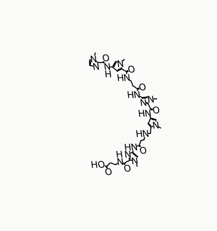 Cn1cc(NC(=O)c2nc(NC(=O)CCNC(=O)c3cc(NC(=O)c4nccn4C)cn3C)cn2C)cc1CNCCC(=O)Nc1cn(C)c(C(=O)NCCC(=O)O)n1